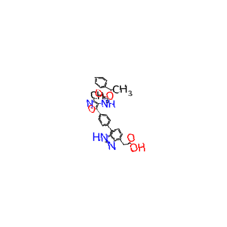 Cc1noc(-c2ccc(-c3ccc(CC(=O)O)c4nc[nH]c34)cc2)c1NC(=O)OC(C)c1ccccc1